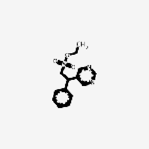 CCOS(=O)(=O)CC(c1ccccc1)c1cncnc1